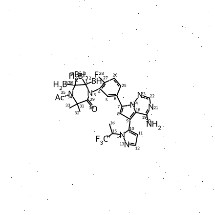 BC1(B)N(c2cc(-c3cc(-c4ccnn4C(C)C(F)(F)F)c4c(N)ncnn34)ccc2F)C(=O)C(C)(C)N(C(C)=O)C1(B)B